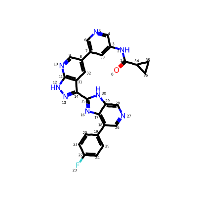 O=C(Nc1cncc(-c2cnc3[nH]nc(-c4nc5c(-c6ccc(F)cc6)cncc5[nH]4)c3c2)c1)C1CC1